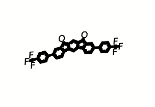 O=c1c2cc(-c3ccc(C(F)(F)F)cc3)ccc2c2cc3c(cc12)c(=O)c1cc(-c2ccc(C(F)(F)F)cc2)ccc13